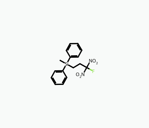 C[Si](CCC(F)([N+](=O)[O-])[N+](=O)[O-])(c1ccccc1)c1ccccc1